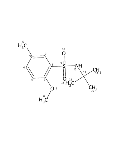 COc1ccc(C)cc1S(=O)(=O)NC(C)(C)C